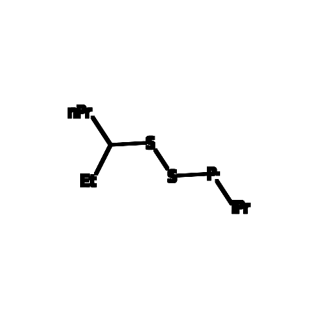 CCCC(CC)SS[P]C(C)C